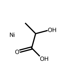 CC(O)C(=O)O.[Ni]